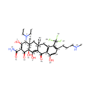 CCN(CC)[C@@H]1C(O)=C(C(N)=O)C(=O)[C@@]2(O)C(O)=C3C(=O)c4c(O)cc(CCCNC)c(C(F)(F)F)c4C[C@H]3C[C@@H]12